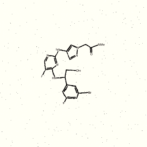 CNC(=O)Cn1cc(Nc2ncc(F)c(NC(CO)c3cc(F)cc(Br)c3)n2)cn1